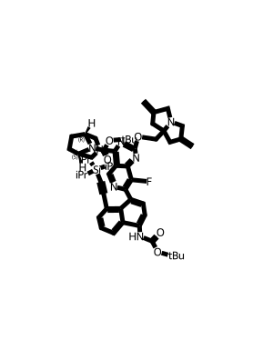 C=C1CN2CC(=C)CC2(COc2nc(N3C[C@H]4CC[C@@H](C3)N4C(=O)OC(C)(C)C)c3cnc(-c4ccc(NC(=O)OC(C)(C)C)c5cccc(C#C[Si](C(C)C)(C(C)C)C(C)C)c45)c(F)c3n2)C1